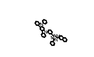 c1ccc(C2=NC(c3ccc4ccccc4c3)NC(c3cccc(-n4c5ccccc5c5cc6c7ccccc7n(-c7ccccc7)c6cc54)c3)=N2)cc1